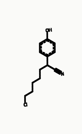 N#CC(CCCCCCl)c1ccc(O)cc1